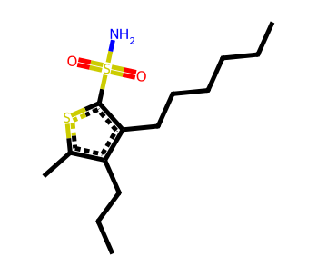 CCCCCCc1c(S(N)(=O)=O)sc(C)c1CCC